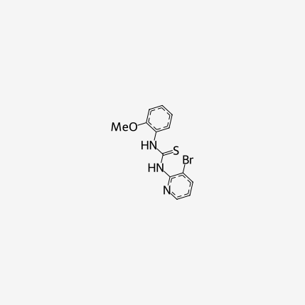 COc1ccccc1NC(=S)Nc1ncccc1Br